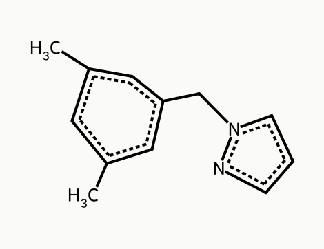 Cc1cc(C)cc(Cn2cccn2)c1